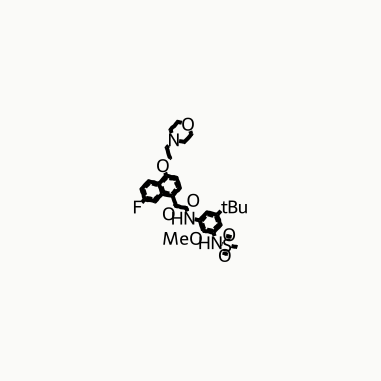 COc1c(NC(=O)C(=O)c2ccc(OCCN3CCOCC3)c3ccc(F)cc23)cc(C(C)(C)C)cc1NS(C)(=O)=O